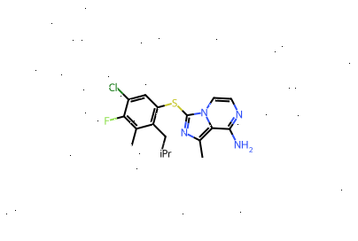 Cc1c(F)c(Cl)cc(Sc2nc(C)c3c(N)nccn23)c1CC(C)C